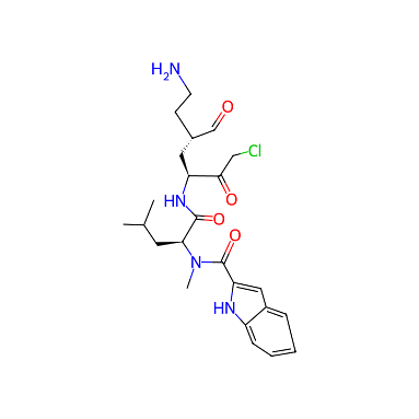 CC(C)C[C@@H](C(=O)N[C@@H](C[C@@H](C=O)CCN)C(=O)CCl)N(C)C(=O)c1cc2ccccc2[nH]1